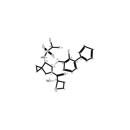 N#C[C@]1(C(=O)N2CC3(CC3)[C@H](NS(=O)(=O)C(F)F)[C@@H]2Cc2cccc(-c3ccccc3)c2F)CCO1